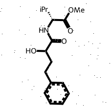 COC(=O)[C@H](NC(=O)C(O)CCc1ccccc1)C(C)C